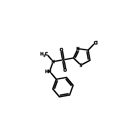 CN(Nc1ccccc1)S(=O)(=O)c1nc(Cl)cs1